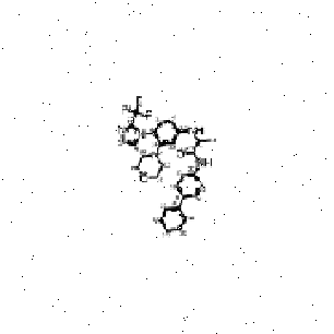 CC(Nc1ccc(-n2ccnc2C(F)(F)F)c(N2CCOCC2)c1)C(=O)Nc1ccc(-c2ccccc2)cn1